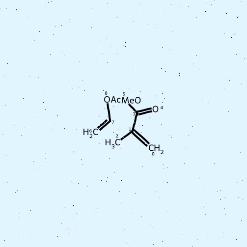 C=C(C)C(=O)OC.C=COC(C)=O